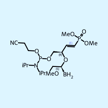 B[C@@H](COC)O[C@H](/C=C/P(=O)(OC)OC)COP(OCCC#N)N(C(C)C)C(C)C